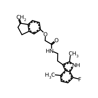 C=C1CCc2cc(OCC(=O)NCCc3c(C)[nH]c4c(F)ccc(C)c34)ccc21